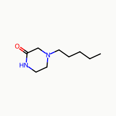 CCCCCN1CCNC(=O)C1